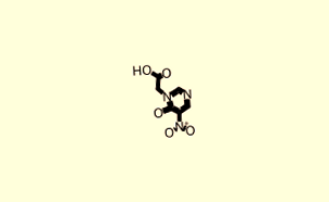 O=C(O)Cn1cncc([N+](=O)[O-])c1=O